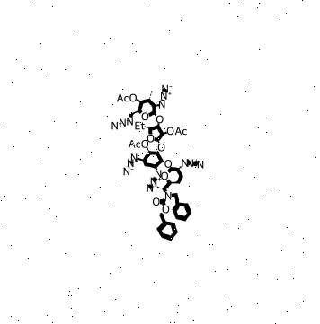 CC[C@H]1O[C@@H](O[C@@H]2[C@@H](OC(C)=O)[C@H](N=[N+]=[N-])C[C@H](N=[N+]=[N-])[C@H]2O[C@H]2O[C@H]([C@@H](C)N(Cc3ccccc3)C(=O)OCc3ccccc3)CC[C@H]2N=[N+]=[N-])[C@H](OC(C)=O)[C@@H]1O[C@H]1O[C@@H](CN=[N+]=[N-])[C@@H](OC(C)=O)[C@H](C)[C@H]1N=[N+]=[N-]